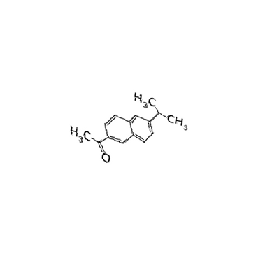 CC(=O)c1ccc2cc(C(C)C)ccc2c1